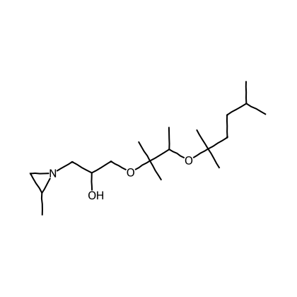 CC(C)CCC(C)(C)OC(C)C(C)(C)OCC(O)CN1CC1C